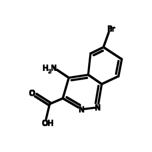 Nc1c(C(=O)O)nnc2ccc(Br)cc12